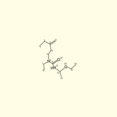 C=C(CC)CCN(CC)C(=O)NC(C)OCC